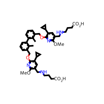 COc1nc(OCc2cccc(-c3cccc(COc4nc(OC)c(CNCCCC(=O)O)cc4C4CC4)c3C)c2C)c(C2CC2)cc1CNCCCC(=O)O